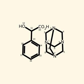 C1N2CN3CN1CN(C2)C3.O=C(O)C(O)c1ccccc1